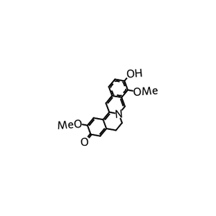 COC1=CC2=C3C=c4ccc(O)c(OC)c4=CN3CCC2=CC1=O